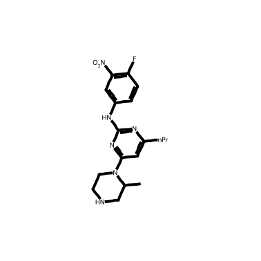 CCCc1cc(N2CCNCC2C)nc(Nc2ccc(F)c([N+](=O)[O-])c2)n1